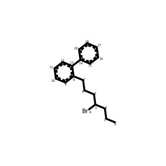 CCCC(Br)CCCc1ccccc1-c1ccccc1